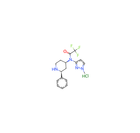 Cl.Cn1ccc(N(C(=O)C(F)(F)F)[C@@H]2CCN[C@H](c3ccccc3)C2)n1